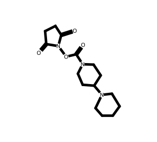 O=C(ON1C(=O)CCC1=O)N1CCC(N2CCCCC2)CC1